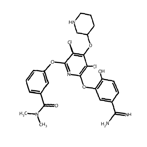 CN(C)C(=O)c1cccc(Oc2nc(Oc3cc(C(=N)N)ccc3O)c(Cl)c(OC3CCCNC3)c2Cl)c1